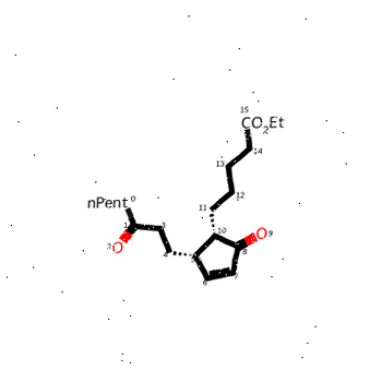 CCCCCC(=O)CC[C@H]1C=CC(=O)[C@H]1CCCCC(=O)OCC